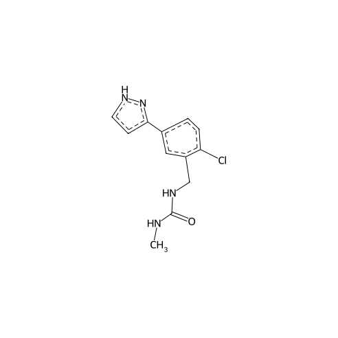 CNC(=O)NCc1cc(-c2cc[nH]n2)ccc1Cl